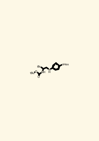 CCCCCCc1ccc(NCC(NC(=O)OC(C)(C)C)C(C)CC)cc1